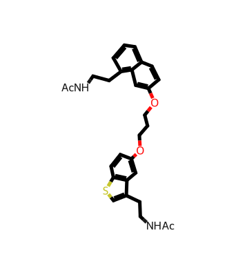 CC(=O)NCCc1cccc2ccc(OCCCOc3ccc4scc(CCNC(C)=O)c4c3)cc12